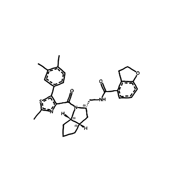 Cc1nc(C(=O)N2[C@H](CNC(=O)c3cccc4c3CCO4)C[C@@H]3CCC[C@@H]32)c(-c2ccc(C)c(C)c2)s1